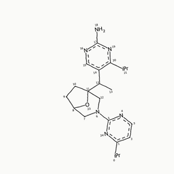 CC(C)c1ccnc(N2CC3CCC(C(C)c4cnc(N)nc4C(C)C)(C2)O3)n1